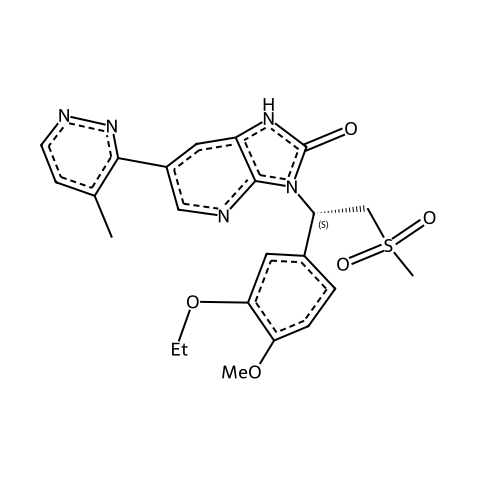 CCOc1cc([C@@H](CS(C)(=O)=O)n2c(=O)[nH]c3cc(-c4nnccc4C)cnc32)ccc1OC